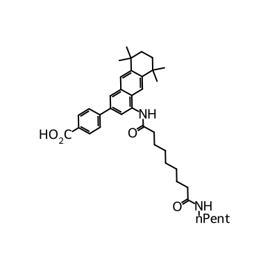 CCCCCNC(=O)CCCCCCCC(=O)Nc1cc(-c2ccc(C(=O)O)cc2)cc2cc3c(cc12)C(C)(C)CCC3(C)C